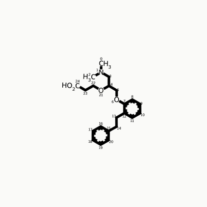 CN(C)CC(COc1ccccc1CCc1ccccc1)OCCC(=O)O